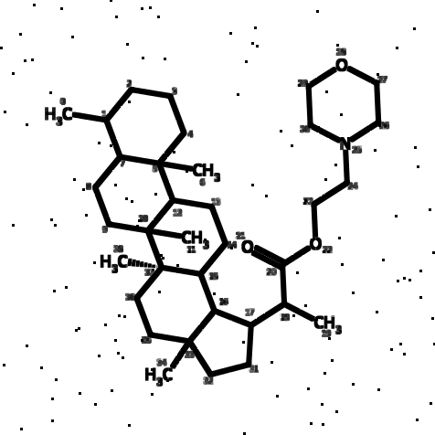 CC1CCCC2(C)C1CCC1(C)C2CCC2C3C(C(C)C(=O)OCCN4CCOCC4)CCC3(C)CC[C@]21C